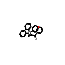 O=C(c1ccccc1)C1CP1(c1ccccc1)(c1ccccc1)c1ccccc1